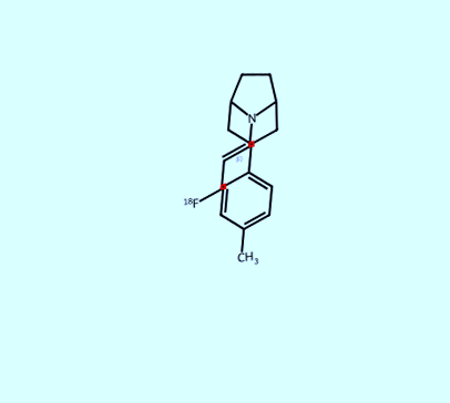 Cc1ccc(C2CC3CCC(C2)N3/C=C/C[18F])cc1